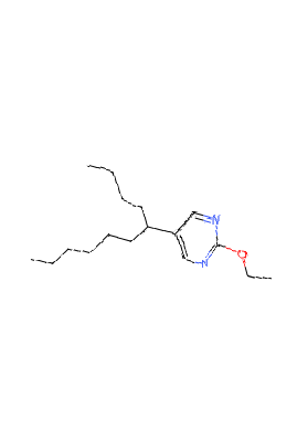 CCCCCCC(CCCC)c1cnc(OCC)nc1